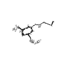 C=CCNCc1cc(N)cc(N)c1.Cl